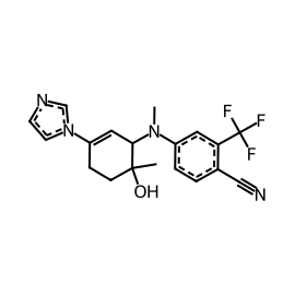 CN(c1ccc(C#N)c(C(F)(F)F)c1)C1C=C(n2ccnc2)CCC1(C)O